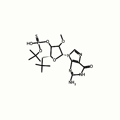 COC1C(OP(O)(=S)OC(C)(C)C)[C@@H](CC(C)(C)C)O[C@H]1n1cnc2c(=O)[nH]c(N)nc21